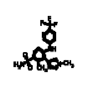 Cc1c(S(N)(=O)=O)ccc(Nc2ccc(C(F)(F)F)nc2)c1-c1cn(C)cn1